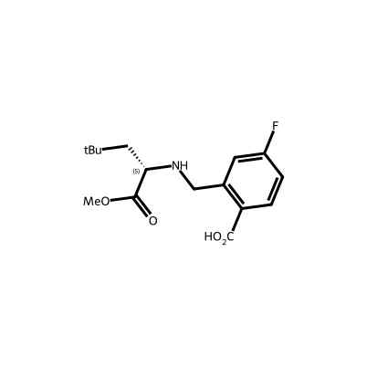 COC(=O)[C@H](CC(C)(C)C)NCc1cc(F)ccc1C(=O)O